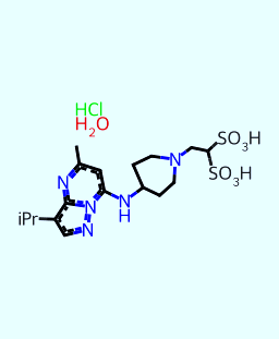 Cc1cc(NC2CCN(CC(S(=O)(=O)O)S(=O)(=O)O)CC2)n2ncc(C(C)C)c2n1.Cl.O